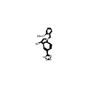 COc1ccccc1Cn1cc(C#N)c2cc(-c3nnn[nH]3)ccc21